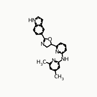 Cc1cc(C)nc(Nc2cccc(C3CN=C(c4ccc5[nH]ccc5c4)O3)n2)c1